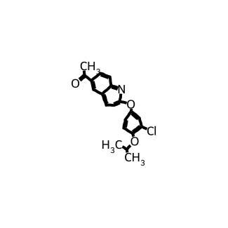 CC(=O)c1ccc2nc(Oc3ccc(OC(C)C)c(Cl)c3)ccc2c1